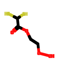 O=C(OCCOO)C(S)S